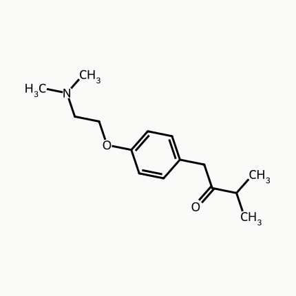 CC(C)C(=O)Cc1ccc(OCCN(C)C)cc1